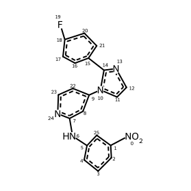 O=[N+]([O-])c1cccc(Nc2cc(-n3ccnc3-c3ccc(F)cc3)ccn2)c1